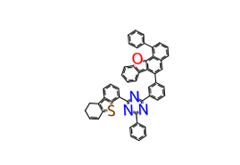 C1=Cc2sc3c(-c4nc(-c5ccccc5)nc(-c5cccc(-c6cc7cccc(-c8ccccc8)c7c7oc8ccccc8c67)c5)n4)cccc3c2CC1